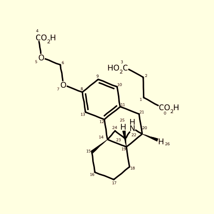 O=C(O)CCC(=O)O.O=C(O)OCOc1ccc2c(c1)[C@@]13CCCC[C@H]1[C@@H](C2)NCC3